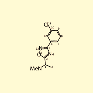 CNC(C)c1nc(-c2cccc(Cl)c2)no1